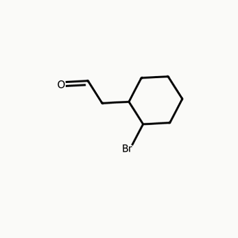 O=CCC1CCCCC1Br